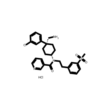 CS(=O)(=O)c1cccc(CCN(C(=O)c2cccnc2)[C@H]2CC[C@](CN)(c3cccc(Cl)c3)CC2)c1.Cl